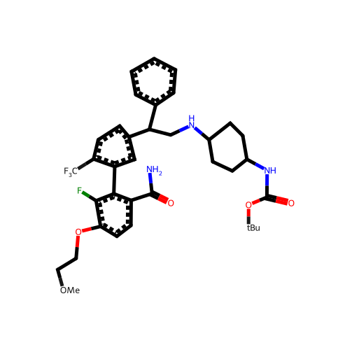 COCCOc1ccc(C(N)=O)c(-c2cc(C(CNC3CCC(NC(=O)OC(C)(C)C)CC3)c3ccccc3)ccc2C(F)(F)F)c1F